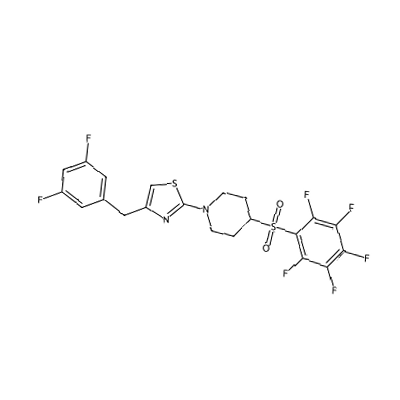 O=S(=O)(c1c(F)c(F)c(F)c(F)c1F)C1CCN(c2nc(Cc3cc(F)cc(F)c3)cs2)CC1